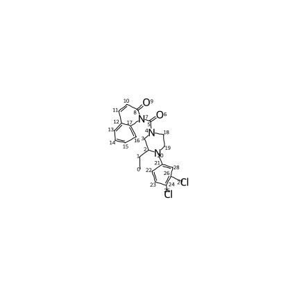 CCC1CN(C(=O)n2c(=O)ccc3ccccc32)CCN1c1ccc(Cl)c(Cl)c1